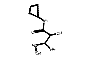 CCCC(NC(C)(C)C)C(O)C(=O)NC1CCC1